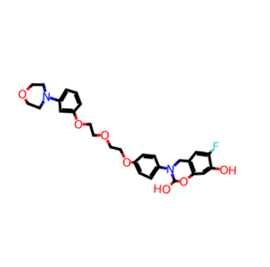 Oc1cc2c(cc1F)CN(c1ccc(OCCOCCOc3cccc(N4CCOCC4)c3)cc1)C(O)O2